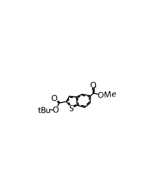 COC(=O)c1ccc2sc(C(=O)OC(C)(C)C)cc2c1